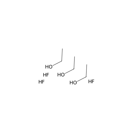 CCO.CCO.CCO.F.F.F